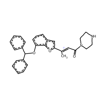 C/C(=C\C(=O)N1CCNCC1)c1cc2cccc(OC(c3ccccc3)c3ccccc3)c2o1